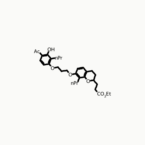 CCCc1c(OCCCOc2ccc3c(c2CCC)OC(CCC(=O)OCC)CC3)ccc(C(C)=O)c1O